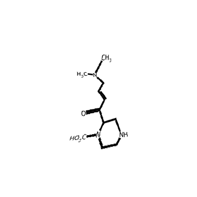 CN(C)CC=CC(=O)C1CNCCN1C(=O)O